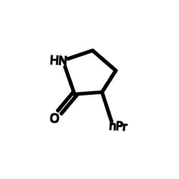 CCCC1CCNC1=O